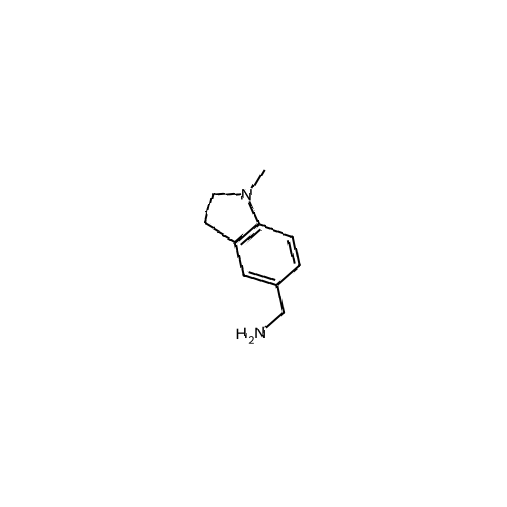 CN1CCc2cc(CN)ccc21